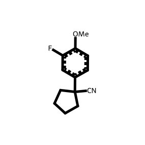 COc1ccc(C2(C#N)CCCC2)cc1F